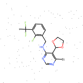 CCc1ncnc(NCc2cccc(C(C)(F)F)c2F)c1C1OCCO1